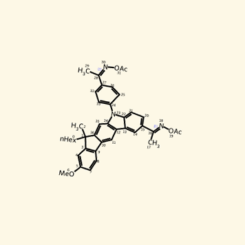 CCCCCCC1(C)c2cc(OC)ccc2-c2cc3c4cc(/C(C)=N/OC(C)=O)ccc4n(-c4ccc(/C(C)=N\OC(C)=O)cc4)c3cc21